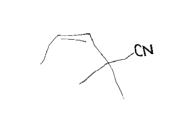 C/C=C\C(C)(C)C#N